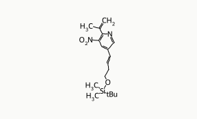 C=C(C)c1ncc(C=CCCO[Si](C)(C)C(C)(C)C)cc1[N+](=O)[O-]